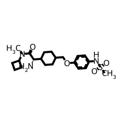 CN(C(=O)[C@@H](N)C1CCC(COc2ccc(NS(C)(=O)=O)cc2)CC1)C1CCC1